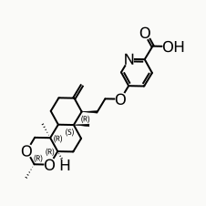 C=C1CCC2[C@]3(C)CO[C@@H](C)O[C@@H]3CC[C@@]2(C)[C@@H]1CCOc1ccc(C(=O)O)nc1